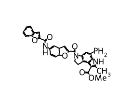 COC(=O)c1c(C)[nH]c2c(P)cc3c(c12)CCN3C(=O)C1=CC2C=C(NC(=O)c3cc4ccccc4o3)C=CC2O1